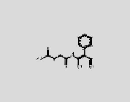 CNC(=O)CCC(=O)N/C(O)=C(/C=N)c1ccccc1